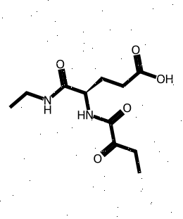 CCNC(=O)[C@@H](CCC(=O)O)NC(=O)C(=O)CC